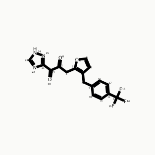 O=C(Cc1occc1Cc1ccc(C(F)(F)F)cc1)C(=O)c1nc[nH]n1